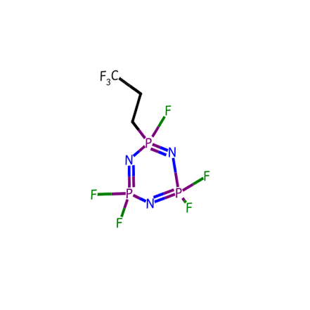 FC(F)(F)CCP1(F)=NP(F)(F)=NP(F)(F)=N1